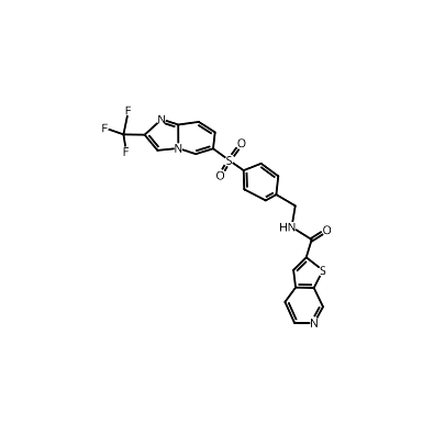 O=C(NCc1ccc(S(=O)(=O)c2ccc3nc(C(F)(F)F)cn3c2)cc1)c1cc2ccncc2s1